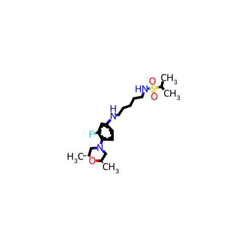 CC(C)S(=O)(=O)NCCCCCNc1ccc(N2C[C@@H](C)O[C@@H](C)C2)c(F)c1